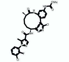 COC(=O)Nc1ccc2c(c1)NC(=O)[C@H](C)CCC[C@H](NC(=O)c1cnn(-c3cccc(Cl)c3F)c1C)c1cc-2c(Cl)nn1